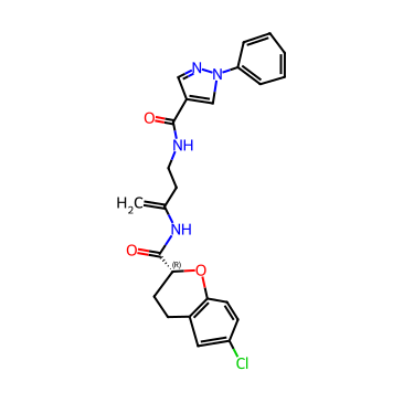 C=C(CCNC(=O)c1cnn(-c2ccccc2)c1)NC(=O)[C@H]1CCc2cc(Cl)ccc2O1